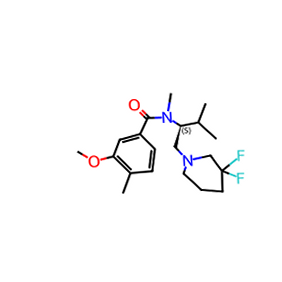 COc1cc(C(=O)N(C)[C@H](CN2CCCC(F)(F)C2)C(C)C)ccc1C